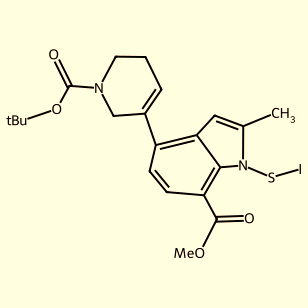 COC(=O)c1ccc(C2=CCCN(C(=O)OC(C)(C)C)C2)c2cc(C)n(SI)c12